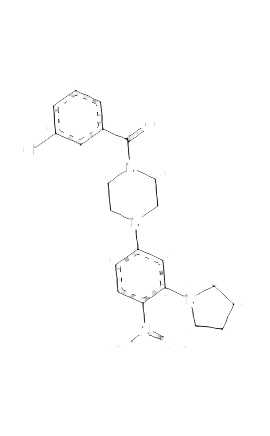 O=C(c1cccc(Cl)c1)N1CCN(c2ccc([N+](=O)[O-])c(N3CCCC3)c2)CC1